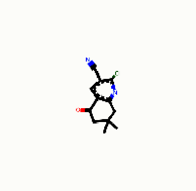 CC1(C)CC(=O)c2cc(C#N)c(Cl)nc2C1